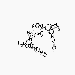 CC(C)OC(=O)N1CCC(C)(C)c2ccc(N3CCC(N4CCOCC4)CC3)cc2C1.CC1(C)CCN(C(=O)Oc2ccc(F)cc2)Cc2cc(N3CCC(N4CCOCC4)CC3)ccc21